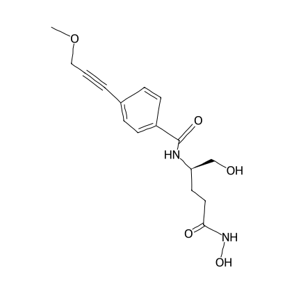 COCC#Cc1ccc(C(=O)N[C@@H](CO)CCC(=O)NO)cc1